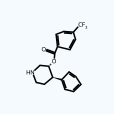 O=C(O[C@H]1CNCC[C@@H]1c1ccccc1)c1ccc(C(F)(F)F)cc1